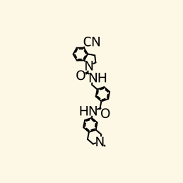 CN1CCc2ccc(NC(=O)c3cccc(CNC(=O)N4CCc5c(C#N)cccc54)c3)cc2C1